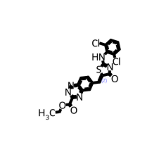 CCOC(=O)c1nnc2ccc(/C=C3\SC(Nc4c(Cl)cccc4Cl)=NC3=O)cc2n1